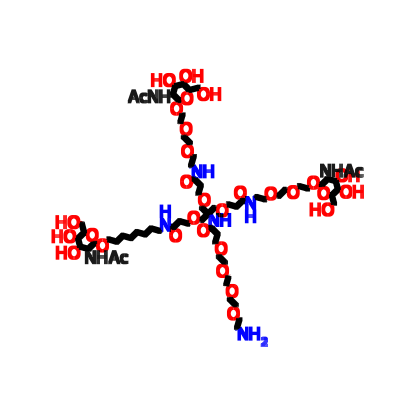 CC(=O)NC1C(OCCCCCCCCNC(=O)CCOCC(COCCC(=O)NCCOCCOCCOC2OC(CO)C(O)C(O)C2NC(C)=O)(COCCC(=O)NCCOCCOCCOC2OC(CO)C(O)C(O)C2NC(C)=O)NC(=O)CCOCCOCCOCCOCCN)OC(CO)C(O)C1O